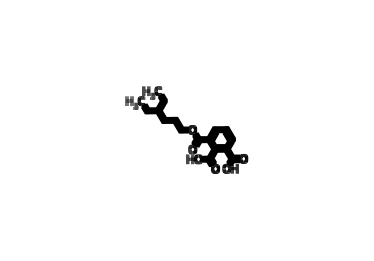 CCC(CC)CCCOC(=O)c1cccc(C(=O)O)c1C(=O)O